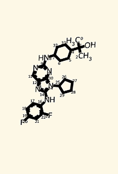 CC(C)(O)C1CCC(Nc2ncc3nc(Nc4ccc(F)cc4F)n(C4CCCC4)c3n2)CC1